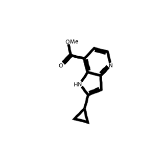 COC(=O)c1ccnc2cc(C3CC3)[nH]c12